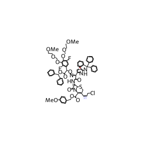 COCCOCOc1c(F)cc(C(ON=C(C(=O)N[C@H]2C(=O)N3C(C(=O)OCc4ccc(OC)cc4)=C(/C=C\CCl)CSC23)c2csc(NC(c3ccccc3)(c3ccccc3)c3ccccc3)n2)C(=O)OC(c2ccccc2)c2ccccc2)c(F)c1OCOCCOC